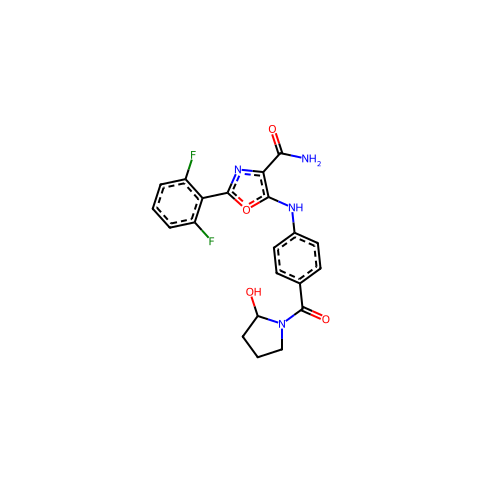 NC(=O)c1nc(-c2c(F)cccc2F)oc1Nc1ccc(C(=O)N2CCCC2O)cc1